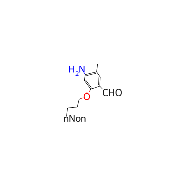 CCCCCCCCCCCCOc1cc(N)c(C)cc1C=O